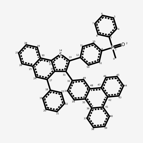 CP(=O)(c1ccccc1)c1ccc(-c2sc3c(c(-c4ccccc4)cc4ccccc43)c2-c2ccc3c4ccccc4c4ccccc4c3c2)cc1